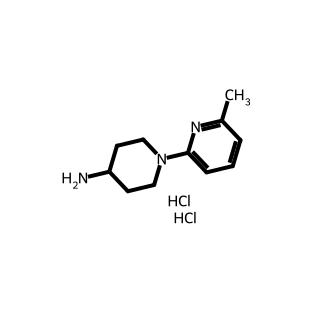 Cc1cccc(N2CCC(N)CC2)n1.Cl.Cl